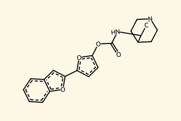 O=C(NC1CN2CCC1CC2)Oc1ccc(-c2cc3ccccc3o2)o1